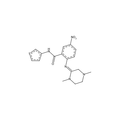 CN1CCN(C)C(=Nc2ccc([N+](=O)[O-])cc2C(=O)Nc2ccsc2)C1